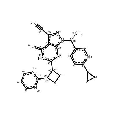 C[C@H](c1ccc(C2CC2)nc1)n1nc(C#N)c2c(=O)[nH]c([C@H]3CC[C@H]3c3ncccn3)nc21